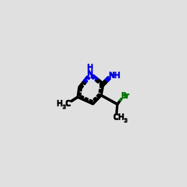 Cc1c[nH]c(=N)c(C(C)Br)c1